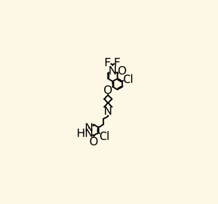 O=c1[nH]ncc(CCCN2CC3(CC(Oc4ccc(Cl)c5c(=O)n(C(F)F)ccc45)C3)C2)c1Cl